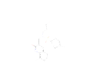 CC(=O)c1ccc(S(=O)(=O)N(CCCO)Cc2cc3cccc(C)c3[nH]c2=O)cc1